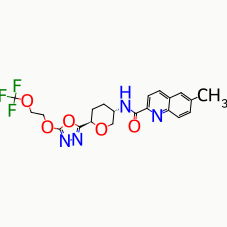 Cc1ccc2nc(C(=O)N[C@H]3CC[C@H](c4nnc(OCCOC(F)(F)F)o4)OC3)ccc2c1